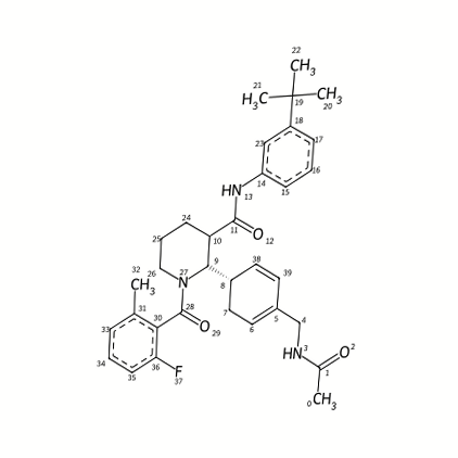 CC(=O)NCC1=CC[C@H](C2C(C(=O)Nc3cccc(C(C)(C)C)c3)CCCN2C(=O)c2c(C)cccc2F)C=C1